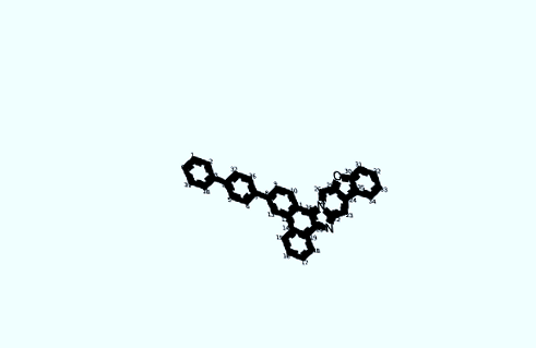 c1ccc(-c2ccc(-c3ccc4c(c3)c3ccccc3c3nc5cc6c(cn5c43)oc3ccccc36)cc2)cc1